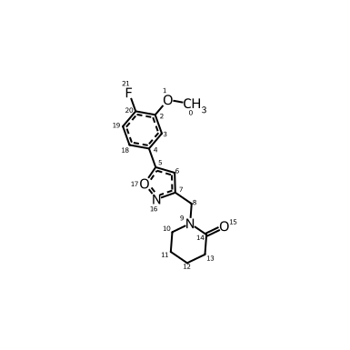 COc1cc(-c2cc(CN3CCCCC3=O)no2)ccc1F